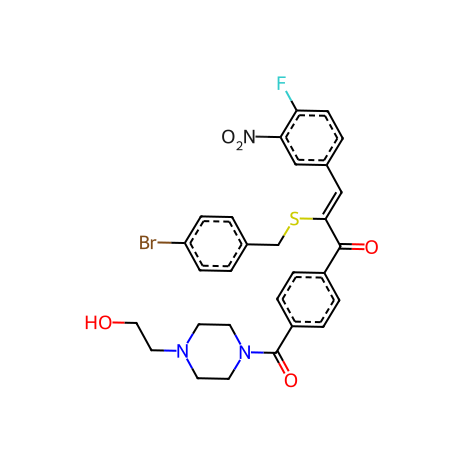 O=C(C(=Cc1ccc(F)c([N+](=O)[O-])c1)SCc1ccc(Br)cc1)c1ccc(C(=O)N2CCN(CCO)CC2)cc1